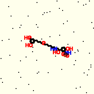 CS(=O)(=O)Nc1cc(C(O)CNCCCCCCOCCCCc2cc(O)cc(O)c2)ccc1O